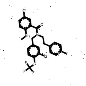 CNc1ccc(Cl)cc1C(=O)N(CCc1ccc(F)cc1)Cc1ccc(OC(F)(F)F)c(Cl)c1